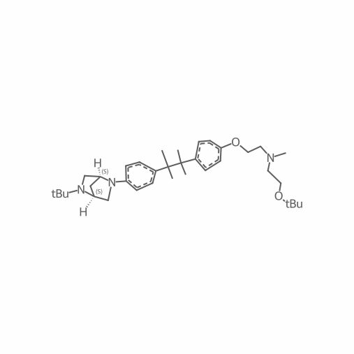 CN(CCOc1ccc(C(C)(C)C(C)(C)c2ccc(N3C[C@@H]4C[C@H]3CN4C(C)(C)C)cc2)cc1)CCOC(C)(C)C